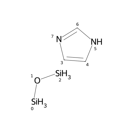 [SiH3]O[SiH3].c1c[nH]cn1